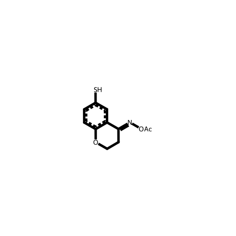 CC(=O)O/N=C1\CCOc2ccc(S)cc21